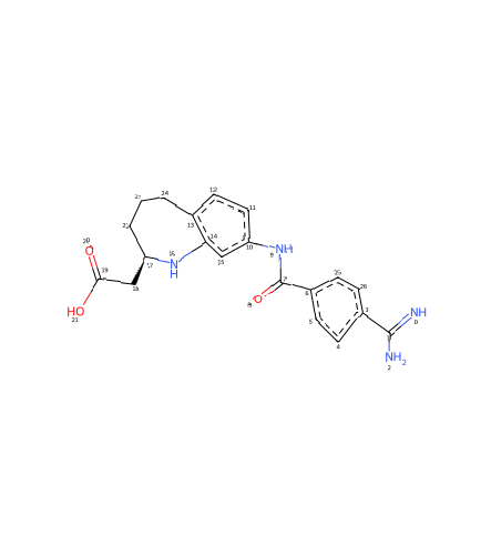 N=C(N)c1ccc(C(=O)Nc2ccc3c(c2)N[C@@H](CC(=O)O)CCC3)cc1